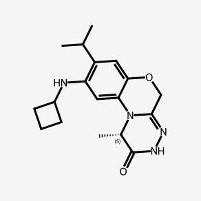 CC(C)c1cc2c(cc1NC1CCC1)N1C(=NNC(=O)[C@@H]1C)CO2